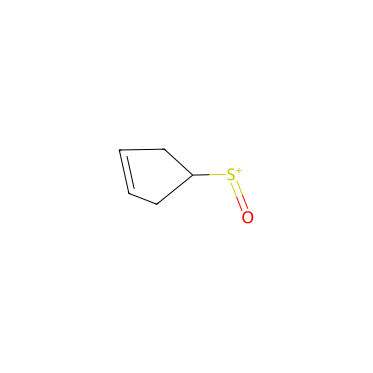 O=[S+]C1CC=CC1